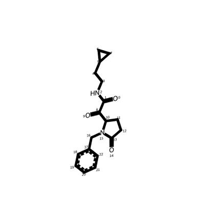 O=C(NCCC1CC1)C(=O)C1CCC(=O)N1Cc1ccccc1